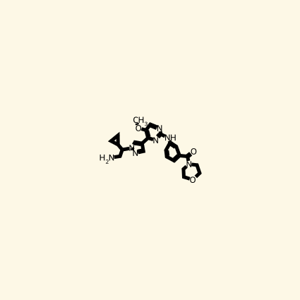 COc1cnc(Nc2cccc(C(=O)N3CCOCC3)c2)nc1-c1cnn(C(CN)C2CC2)c1